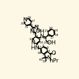 CCCN1C(=O)c2ccc(Nc3cc(N[C@H](CO)c4ccccc4)c(-c4nc(-c5ccncc5)no4)cn3)cc2C1(C)C